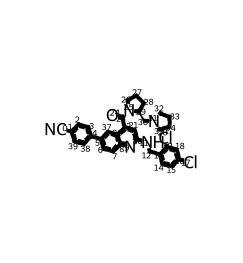 N#Cc1ccc(-c2ccc3nc(NCc4ccc(Cl)cc4Cl)cc(C(=O)N4CCC[C@H]4CN4CCCC4)c3c2)cc1